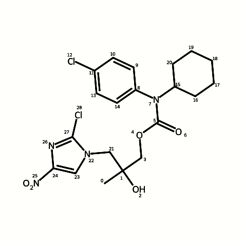 CC(O)(COC(=O)N(c1ccc(Cl)cc1)C1CCCCC1)Cn1cc([N+](=O)[O-])nc1Cl